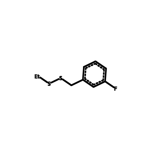 CCSSCc1cccc(F)c1